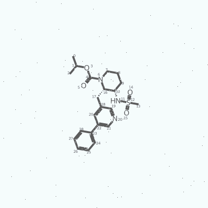 CC(C)OC(=O)N1CCC[C@H](NS(C)(=O)=O)[C@@H]1Cc1cncc(-c2ccccc2)c1